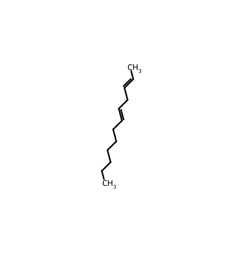 CC=CCC=CCCCCCC